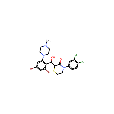 CN1CCN(c2cc(Br)cc(Br)c2C(O)C2SCCN(c3ccc(Cl)c(Cl)c3)C2=O)CC1